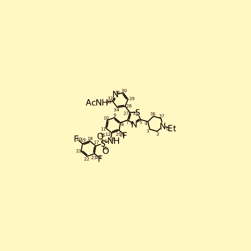 CCN1CCC(c2nc(-c3cccc(NS(=O)(=O)c4cc(F)ccc4F)c3F)c(-c3ccnc(NC(C)=O)c3)s2)CC1